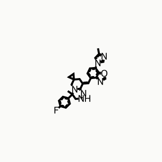 Cc1cn(-c2ccc(/C=C3\CC4(CC4)CN4C3=NNCC4(C)c3ccc(F)cc3)c3ncoc23)cn1